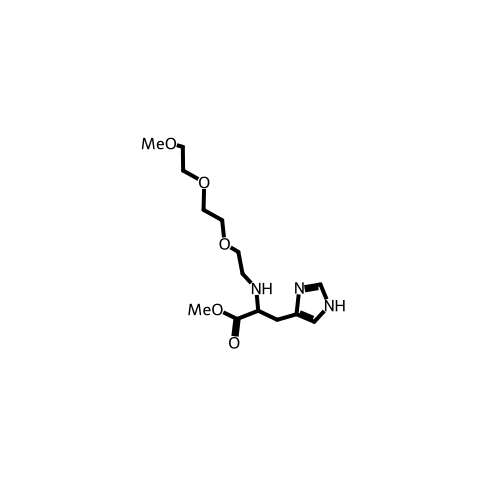 COCCOCCOCCNC(Cc1c[nH]cn1)C(=O)OC